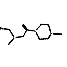 C=C(CN(C)CC(C)C)N1CCN(C)CC1